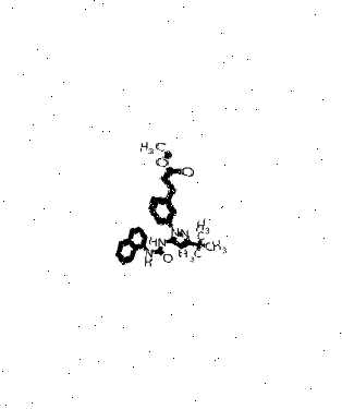 CCOC(=O)CCc1cccc(-n2nc(C(C)(C)C)cc2NC(=O)Nc2cccc3ccccc23)c1